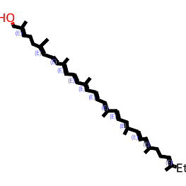 CC/C(C)=C/CC/C(C)=C/C=C/C(C)=C/C=C/C(C)=C/C=C/C=C(C)/C=C/C=C(C)/C=C/C=C(\C)CC/C=C(\C)CO